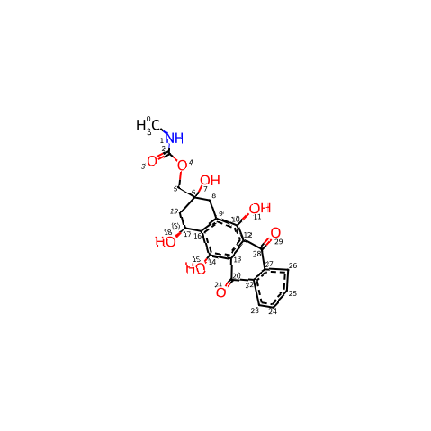 CNC(=O)OCC1(O)Cc2c(O)c3c(c(O)c2[C@@H](O)C1)C(=O)c1ccccc1C3=O